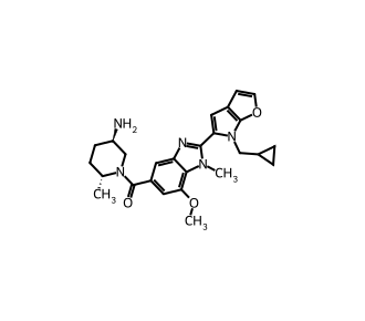 COc1cc(C(=O)N2C[C@H](N)CC[C@H]2C)cc2nc(-c3cc4ccoc4n3CC3CC3)n(C)c12